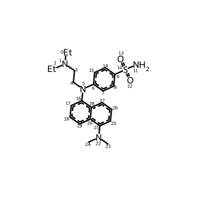 CCN(CC)CCN(c1ccc(S(N)(=O)=O)cc1)c1cccc2c(N(C)C)cccc12